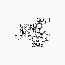 CCOC(=O)c1cnn(CC(F)(F)F)c1C1=Cc2cc(OC)ccc2-c2c(C3CCCCC3)c3ccc(C(=O)O)cc3n2C1